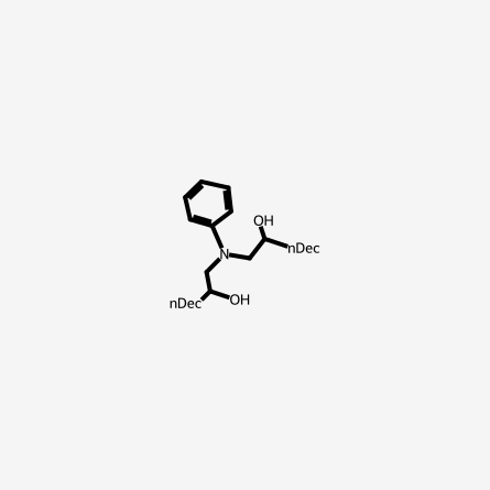 CCCCCCCCCCC(O)CN(CC(O)CCCCCCCCCC)c1ccccc1